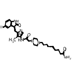 Cc1c(NC(=O)CN2CCN(CCCCCCCCC(N)=O)CC2)c[nH]c1C=C1C(=O)Nc2ccc(F)cc21